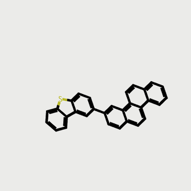 c1ccc2c(c1)ccc1c3cc(-c4ccc5sc6ccccc6c5c4)ccc3ccc21